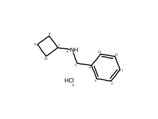 Cl.c1ccc(CNC2CCC2)cc1